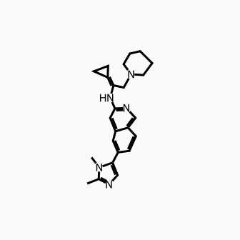 Cc1ncc(-c2ccc3cnc(NC(CN4CCCCC4)=C4CC4)cc3c2)n1C